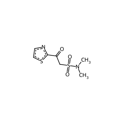 CN(C)S(=O)(=O)CC(=O)c1nccs1